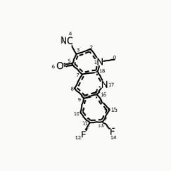 Cn1cc(C#N)c(=O)c2cc3cc(F)c(F)cc3nc21